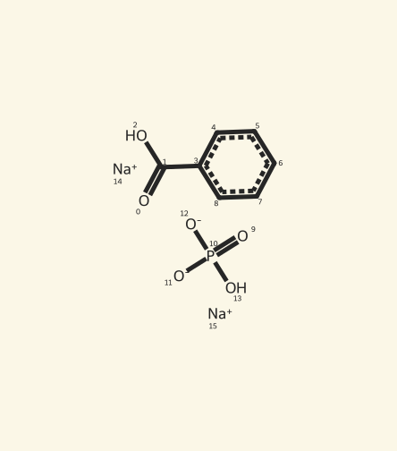 O=C(O)c1ccccc1.O=P([O-])([O-])O.[Na+].[Na+]